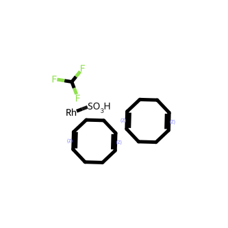 C1=C\CC/C=C\CC/1.C1=C\CC/C=C\CC/1.FC(F)F.O=[S](=O)(O)[Rh]